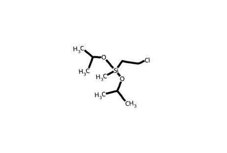 CC(C)O[Si](C)(CCCl)OC(C)C